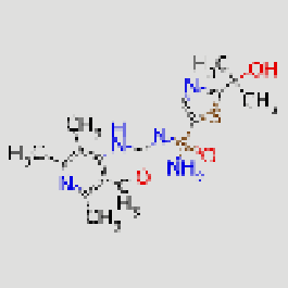 Cc1nc(C)c(C)c(NC(=O)N=[S@@](N)(=O)c2cnc(C(C)(C)O)s2)c1C